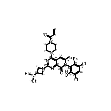 C=CC(=O)N1CCN(c2nc(N3CC(N(CC)CC)C3)nc3c(=O)n(-c4c(O)c(Cl)cc(Cl)c4F)c(C)cc23)CC1